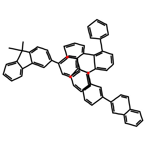 CC1(C)c2ccccc2-c2cc(-c3ccc(N(c4cccc(-c5ccc6ccccc6c5)c4)c4cccc(-c5ccccc5)c4-c4ccccc4-c4ccccc4)cc3)ccc21